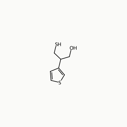 OCC(CS)c1ccsc1